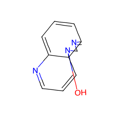 ON1CN=C2C=CC=C3N=CC=CC321